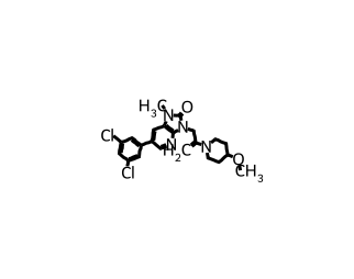 C=C(Cn1c(=O)n(C)c2cc(-c3cc(Cl)cc(Cl)c3)cnc21)N1CCC(OC)CC1